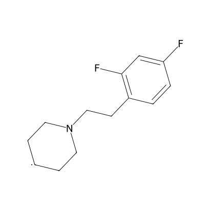 Fc1ccc(CCN2CC[CH]CC2)c(F)c1